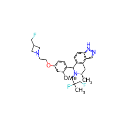 COc1cc(OCCN2CC(CF)C2)ccc1C1c2ccc3[nH]ncc3c2C[C@@H](C)N1CC(C)(F)CF